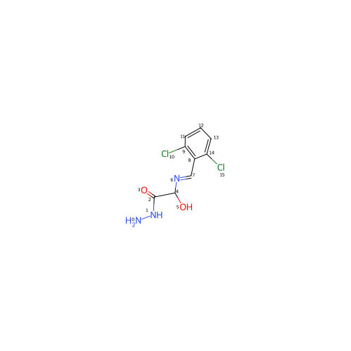 NNC(=O)C(O)N=Cc1c(Cl)cccc1Cl